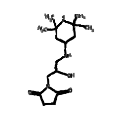 CC1(C)CC(NCC(O)CN2C(=O)CCC2=O)CC(C)(C)N1